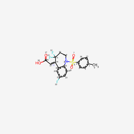 Cc1ccc(S(=O)(=O)N2CCC(F)(F)/C(=C\C(=O)O)c3cc(F)ccc32)cc1